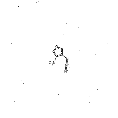 [N-]=[N+]=Nc1cocc1[N+](=O)[O-]